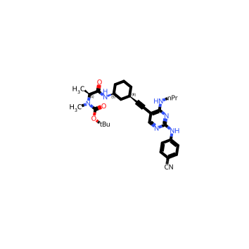 CCCNc1nc(Nc2ccc(C#N)cc2)ncc1C#C[C@@H]1CCC[C@H](NC(=O)[C@H](C)N(C)C(=O)OC(C)(C)C)C1